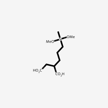 CO[Si](C)(CCCC(CC(=O)O)C(=O)O)OC